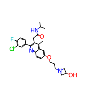 Cc1c(CC(=O)NC(C)C)c(-c2ccc(F)c(Cl)c2)nc2ccc(OCCCN3CC(O)C3)cc12